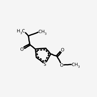 COC(=O)c1cc(C(=O)C(C)C)cs1